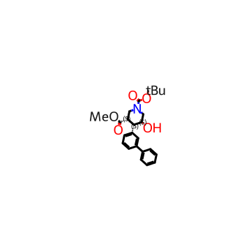 COC(=O)[C@@H]1CN(C(=O)OC(C)(C)C)C[C@@H](O)[C@@H]1c1cccc(-c2ccccc2)c1